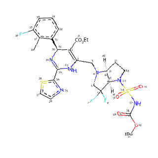 CCOC(=O)C1=C(CN2CC(F)(F)[C@H]3[C@@H]2CCN3S(=O)(=O)NC(=O)OC(C)(C)C)NC(c2nccs2)=N[C@H]1c1cccc(F)c1C